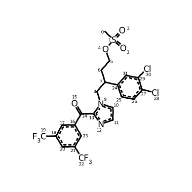 CS(=O)(=O)OCCC(Cn1ccnc1C(=O)c1cc(C(F)(F)F)cc(C(F)(F)F)c1)c1ccc(Cl)c(Cl)c1